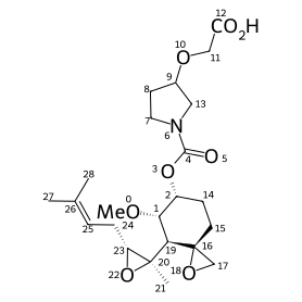 CO[C@@H]1[C@H](OC(=O)N2CCC(OCC(=O)O)C2)CC[C@]2(CO2)[C@H]1[C@@]1(C)O[C@@H]1CC=C(C)C